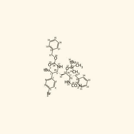 CC(C)(C)C(c1ccc(Br)cc1)[C@@H](C[C@@H](O[Si](C)(C)C(C)(C)C)[C@H](Cc1ccccc1)NC(=O)O)NC(=O)OCc1ccccc1